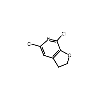 Clc1cc2c(c(Cl)n1)OCC2